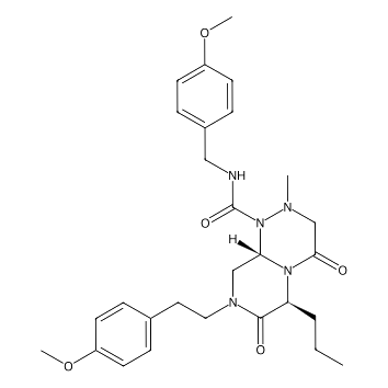 CCC[C@H]1C(=O)N(CCc2ccc(OC)cc2)C[C@H]2N1C(=O)CN(C)N2C(=O)NCc1ccc(OC)cc1